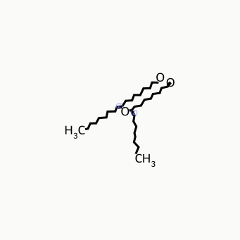 CCCCCCCC/C=C(/CCCCCCCC=O)O/C(=C\CCCCCCCC)CCCCCCCC=O